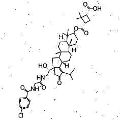 CC(C)C1=C2[C@H]3CC[C@@H]4[C@@]5(C)CC[C@H](OC(=O)[C@H]6C[C@@H](C(=O)O)C6(C)C)C(C)(C)[C@@H]5CC[C@@]4(C)[C@]3(C)CC[C@@]2([C@@H](O)CNC(=O)CNC(=O)c2ccc(Cl)cc2)CC1=O